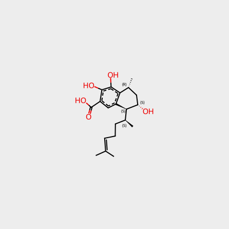 CC(C)=CCC[C@H](C)[C@H]1c2cc(C(=O)O)c(O)c(O)c2[C@H](C)C[C@@H]1O